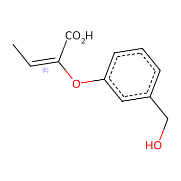 C/C=C(/Oc1cccc(CO)c1)C(=O)O